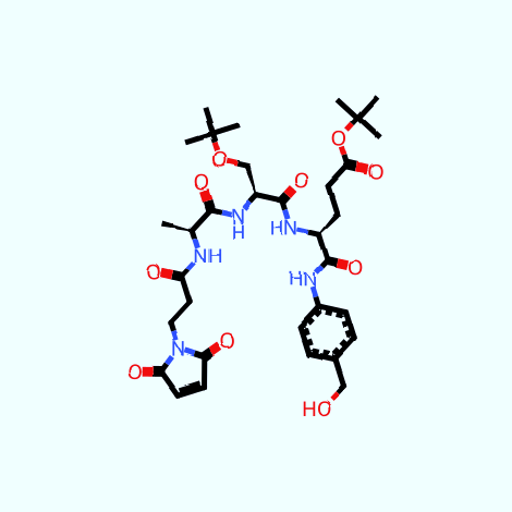 C[C@H](NC(=O)CCN1C(=O)C=CC1=O)C(=O)N[C@@H](COC(C)(C)C)C(=O)N[C@@H](CCC(=O)OC(C)(C)C)C(=O)Nc1ccc(CO)cc1